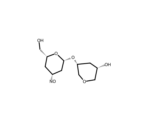 O=N[C@@H]1C[C@H](CO)O[C@H](O[C@H]2COC[C@@H](O)C2)C1